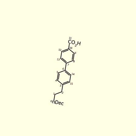 CCCCCCCCCCCCc1ccc(-c2ccc(C(=O)O)cc2)cc1